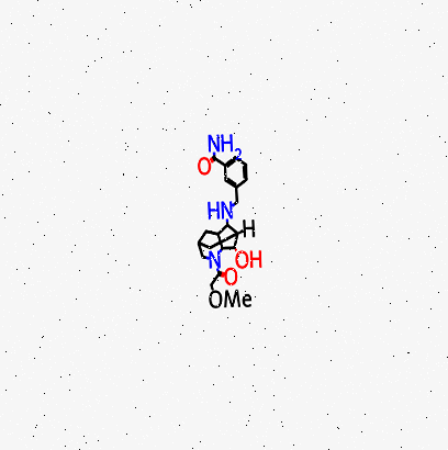 COCC(=O)N1CC2CC3C(NCc4cccc(C(N)=O)c4)[C@@H](C2)[C@H](O)C31